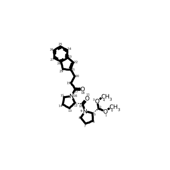 COC(OC)[C@@H]1CCCN1C(=O)[C@@H]1CCCN1C(=O)CCC1=Cc2ccccc2C1